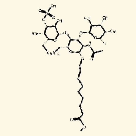 COC(=O)CCCCCCCCO[C@@H]1O[C@H](CN)[C@@H](O[C@@H]2O[C@H](CO)[C@H](O)[C@H](OS(=O)(=O)O)[C@H]2O)[C@H](O[C@@H]2O[C@@H](C)[C@@H](O)[C@@H](O)[C@@H]2O)[C@H]1NC(C)=O